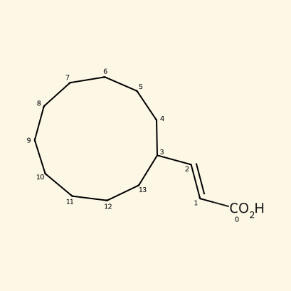 O=C(O)/C=C/C1CCCCCCCCCC1